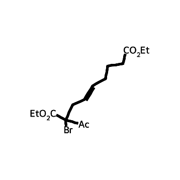 CCOC(=O)CCCC=CCC(Br)(C(C)=O)C(=O)OCC